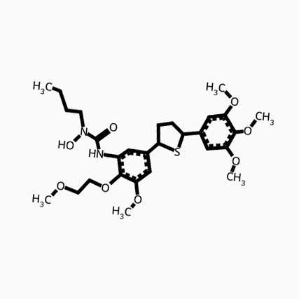 CCCCN(O)C(=O)Nc1cc(C2CCC(c3cc(OC)c(OC)c(OC)c3)S2)cc(OC)c1OCCOC